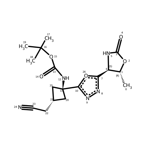 C[C@H]1OC(=O)N[C@@H]1c1nnc([C@]2(NC(=O)OC(C)(C)C)C[C@H](CC#N)C2)o1